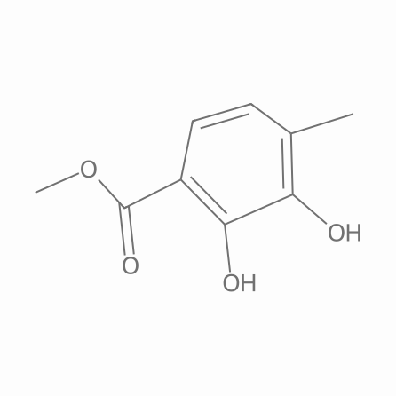 COC(=O)c1ccc(C)c(O)c1O